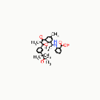 CC(=O)C(C)(C)c1cccc(-c2oc3c(C(C)Nc4ccccc4C(=O)O)cc(C)cc3c(=O)c2C)c1